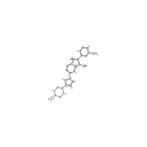 Cc1cc(-c2[nH]c3ccc(-c4nnc(C5CCC(C(F)(F)F)CC5)o4)cc3c2C(C)C)ccn1